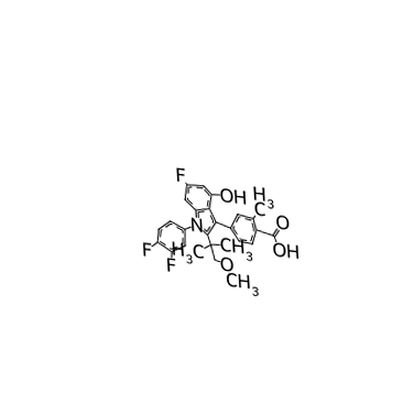 COCC(C)(C)c1c(-c2ccc(C(=O)O)c(C)c2)c2c(O)cc(F)cc2n1-c1ccc(F)c(F)c1